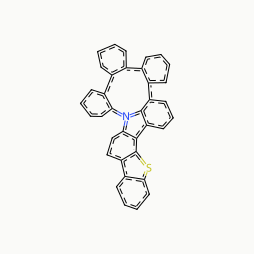 c1ccc2c(c1)sc1c2ccc2c1c1cccc3c4ccccc4c4ccccc4c4ccccc4n2c31